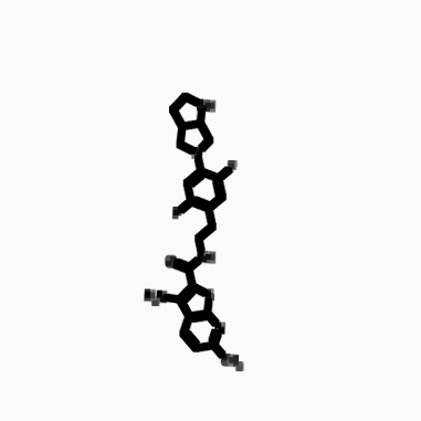 Cc1ccc2c(N)c(C(=O)NCCc3cc(F)c(N4CC5CCNC5C4)cc3F)sc2n1